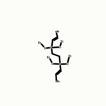 CCCC=C[Si](CC[Si](C=CCCC)(OCC)OCC)(OCC)OCC